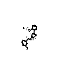 COc1ccccc1-c1csc(NC(=O)c2cccc(Cl)c2)n1